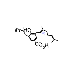 CC(C)=CCC/C(C)=C/Cc1cc(C(=O)O)cc(CCC(C)C)c1O